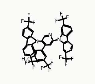 Cc1cc(-c2cc(-n3c4cc(C(F)(F)F)ccc4c4ccc(C(F)(F)F)cc43)ncc2-n2c3cc(C(F)(F)F)ccc3c3ccc(C(F)(F)F)cc32)cc(C(F)(F)F)c1